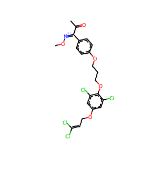 CO/N=C(/C(C)=O)c1ccc(OCCCOc2c(Cl)cc(OCC=C(Cl)Cl)cc2Cl)cc1